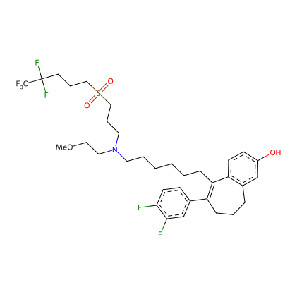 COCCN(CCCCCCC1=C(c2ccc(F)c(F)c2)CCCc2cc(O)ccc21)CCCS(=O)(=O)CCCC(F)(F)C(F)(F)F